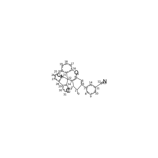 CC1CC2=C(C=C1c1cccc(C#N)c1)Oc1ccccc1C21c2ccccc2-c2ccccc21